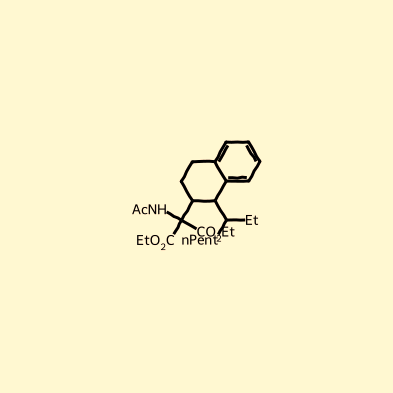 CCCCCC(CC)C1c2ccccc2CCC1C(NC(C)=O)(C(=O)OCC)C(=O)OCC